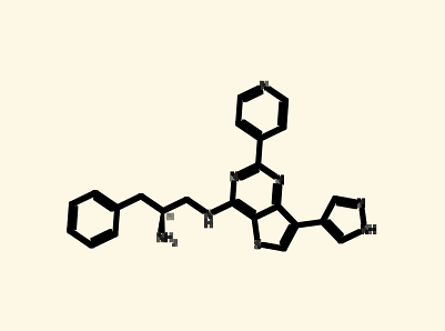 N[C@H](CNc1nc(-c2ccncc2)nc2c(-c3cn[nH]c3)csc12)Cc1ccccc1